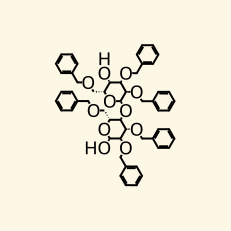 O[C@@H]1[C@H](OCc2ccccc2)[C@@H](OCc2ccccc2)[C@@H](O[C@H]2[C@H](OCc3ccccc3)[C@@H](OCc3ccccc3)[C@@H](O)O[C@@H]2COCc2ccccc2)O[C@@H]1COCc1ccccc1